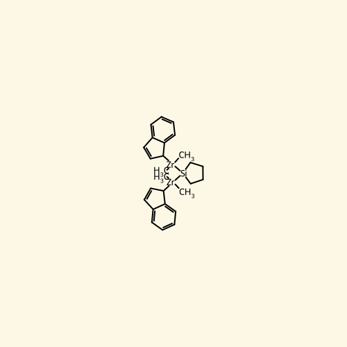 [CH3][Zr]([CH3])([CH]1C=Cc2ccccc21)[Si]1([Zr]([CH3])([CH3])[CH]2C=Cc3ccccc32)CCCC1